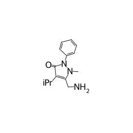 CC(C)c1c(CN)n(C)n(-c2ccccc2)c1=O